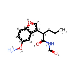 CCCC(C(=O)NC=O)c1coc2ccc(ON)cc12